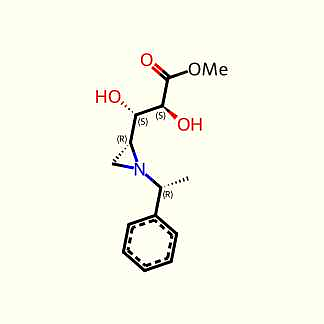 COC(=O)[C@@H](O)[C@@H](O)[C@H]1CN1[C@H](C)c1ccccc1